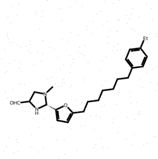 CCc1ccc(CCCCCCCc2ccc([C@@H]3NC(C=O)CN3C)o2)cc1